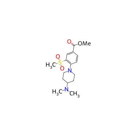 COC(=O)c1ccc(N2CCC(N(C)C)CC2)c(S(C)(=O)=O)c1